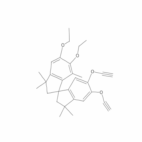 C#COc1cc2c(cc1OC#C)C1(CC2(C)C)CC(C)(C)c2cc(OCC)c(OCC)c(C)c21